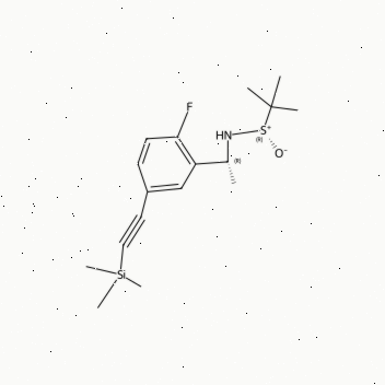 C[C@@H](N[S@@+]([O-])C(C)(C)C)c1cc(C#C[Si](C)(C)C)ccc1F